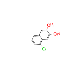 Oc1cc2cccc(Cl)c2cc1O